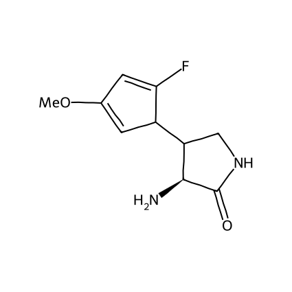 COC1=CC(C2CNC(=O)[C@H]2N)C(F)=C1